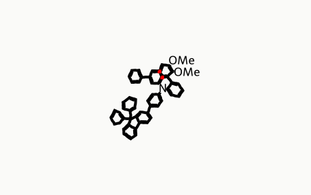 COc1cccc(-c2ccccc2N(c2ccc(-c3ccc4c(c3)C(C3=CC=CCC3)(c3ccccc3)c3ccccc3-4)cc2)c2cccc(-c3ccccc3)c2)c1OC